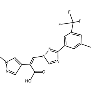 Cc1cc(-c2ncn(/C=C(\C(=O)O)c3cnn(C)c3)n2)cc(C(F)(F)F)c1